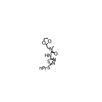 CCCSc1nnc(NC(=O)N(C)CC2OCCO2)s1